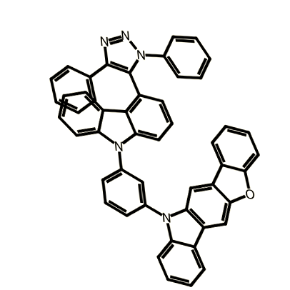 c1ccc(-c2nnn(-c3ccccc3)c2-c2cccc3c2c2ccccc2n3-c2cccc(-n3c4ccccc4c4cc5oc6ccccc6c5cc43)c2)cc1